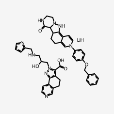 O=C(O)c1c2c(nn1CC(O)CNCc1cccs1)-c1ccncc1CC2.O=C1NCCN2NC3=C4C=CN(c5ccc(OCc6ccccc6)cc5)C=C4CCC3C12.[LiH]